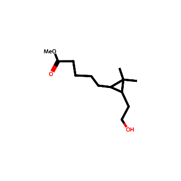 COC(=O)CCCCC1C(CCO)C1(C)C